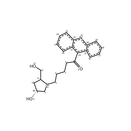 O=C(CCCCN1C[C@H](O)CC1CO)c1c2ccccc2nc2ccccc12